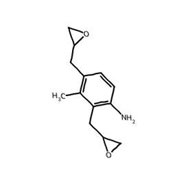 Cc1c(CC2CO2)ccc(N)c1CC1CO1